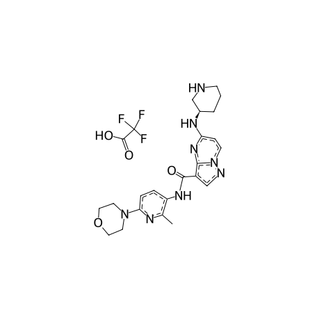 Cc1nc(N2CCOCC2)ccc1NC(=O)c1cnn2ccc(N[C@@H]3CCCNC3)nc12.O=C(O)C(F)(F)F